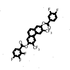 O=C(Oc1cc2ccc3cc(OC(=O)c4ccc(F)c(F)c4F)c(C(F)(F)F)cc3c2cc1C(F)(F)F)c1ccc(F)c(F)c1